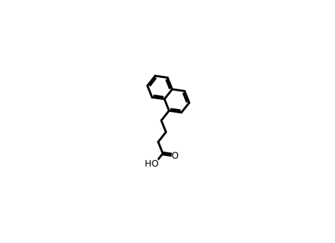 O=C(O)CCCc1cccc2ccccc12